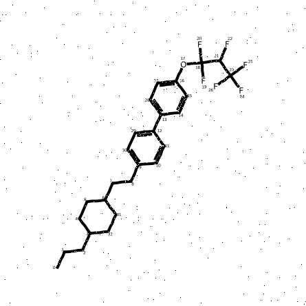 CCCC1CCC(CCc2ccc(-c3ccc(OC(F)(F)C(F)C(F)(F)F)cc3)cc2)CC1